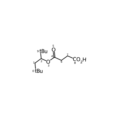 CC(C)(C)CC(OC(=O)CCC(=O)O)C(C)(C)C